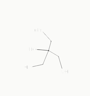 CCCCC(O)(CO)CO